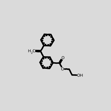 C=C(c1ccccc1)c1cccc(C(=O)OCCO)c1